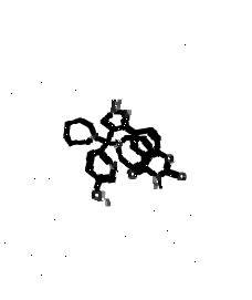 O=c1[nH]c(=O)c2cc(-c3n[nH]cc3C(c3ccc(C(F)(F)F)cn3)(N3CCCCCC3)N3CCCCCC3)ccc2o1